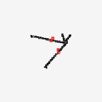 CCCCCCC1C=CC(CCCCCCCC(=O)OCCCCCCCCCCCCCCCC(C)C)C(C=CCCCCCCCC(=O)OCCCCCCCCCCCCCCCC(C)C)C1CCCCCC